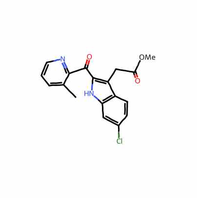 COC(=O)Cc1c(C(=O)c2ncccc2C)[nH]c2cc(Cl)ccc12